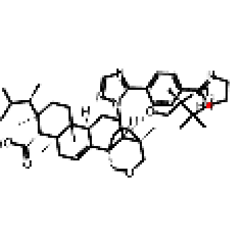 CC(C)[C@@H](C)[C@@]1(C)CC[C@]2(C)[C@H]3CC[C@@H]4[C@@]5(COC[C@]4(C)[C@@H](OC[C@](C)(N)C(C)(C)C)[C@H](n4ncnc4-c4ccc(C6=NCCN6)cc4)C5)C3=CC[C@@]2(C)[C@@H]1C(=O)O